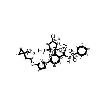 CCO[Si]1(c2nc(-n3ccc(OCCC4(C(F)(F)F)CC4)n3)ccc2C(=O)NS(=O)(=O)c2ccccc2)CC(C)CC1(C)C